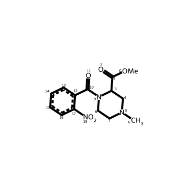 COC(=O)C1CN(C)CCN1C(=O)c1ccccc1[N+](=O)[O-]